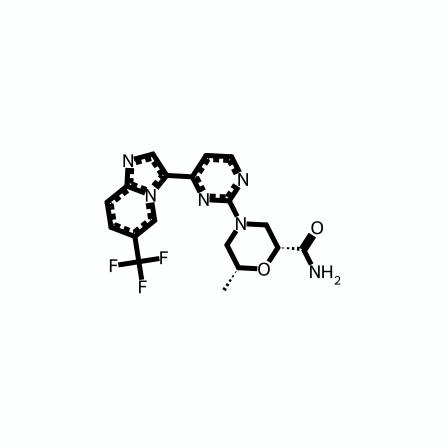 C[C@@H]1CN(c2nccc(-c3cnc4ccc(C(F)(F)F)cn34)n2)C[C@H](C(N)=O)O1